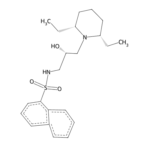 CC[C@@H]1CCC[C@H](CC)N1C[C@@H](O)CNS(=O)(=O)c1cccc2ccccc12